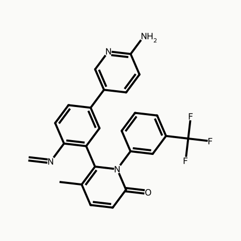 C=Nc1ccc(-c2ccc(N)nc2)cc1-c1c(C)ccc(=O)n1-c1cccc(C(F)(F)F)c1